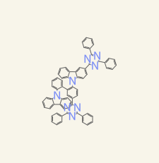 c1ccc(-c2nc(-c3ccccc3)nc(-c3ccc(-n4c5ccccc5c5cc(-c6nc(-c7ccccc7)nc(-c7ccccc7)n6)ccc54)c(-c4ccccc4-n4c5ccccc5c5ccccc54)c3)n2)cc1